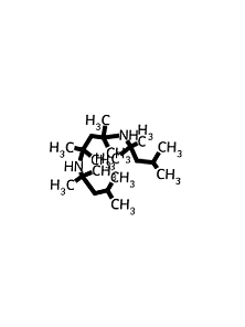 CC(C)CC(C)(C)NC(C)(C)CC(C)(C)NC(C)(C)CC(C)C